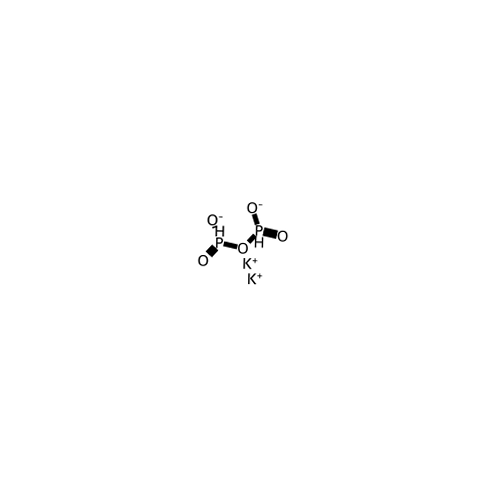 O=[PH]([O-])O[PH](=O)[O-].[K+].[K+]